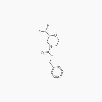 O=C(OCc1ccccc1)N1CCOC(C(F)F)C1